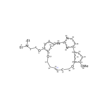 CCN(CC)CCOc1ccc2cc1OCC/C=C/CCOc1cc(ccc1OC)-c1ccnc(n1)N2